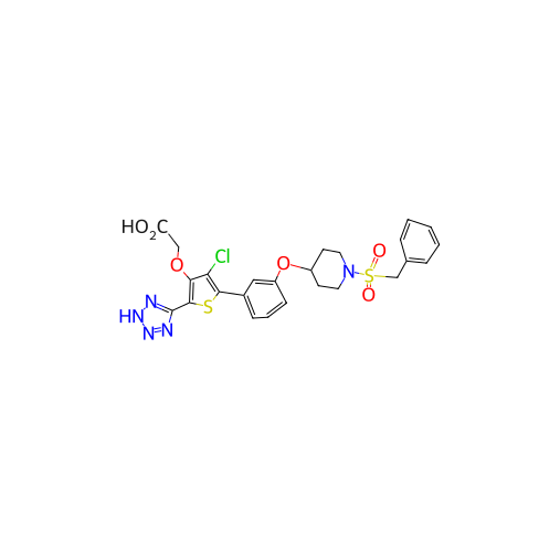 O=C(O)COc1c(-c2nn[nH]n2)sc(-c2cccc(OC3CCN(S(=O)(=O)Cc4ccccc4)CC3)c2)c1Cl